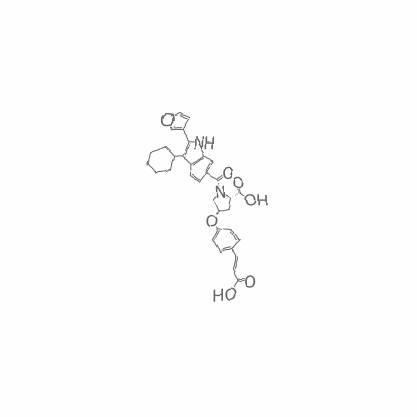 O=C(O)/C=C/c1ccc(O[C@@H]2C[C@@H](C(=O)O)N(C(=O)c3ccc4c(C5CCCCC5)c(-c5ccoc5)[nH]c4c3)C2)cc1